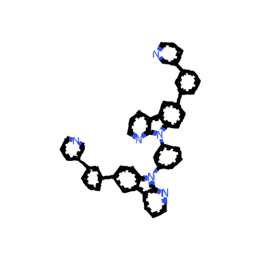 c1cncc(-c2cccc(-c3ccc4c(c3)c3cccnc3n4-c3cccc(-n4c5ccc(-c6cccc(-c7cccnc7)c6)cc5c5cccnc54)c3)c2)c1